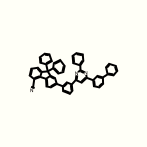 N#Cc1cccc2c1-c1ccc(-c3cccc(-c4cc(-c5cccc(-c6ccccc6)c5)nc(-c5ccccc5)n4)c3)cc1C2(c1ccccc1)c1ccccc1